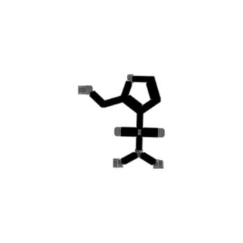 CCN(CC)S(=O)(=O)c1ccsc1CO